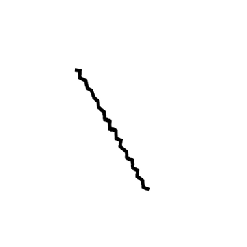 CCCCCCCCCCC=CC=CCCCCCCCCCCCC